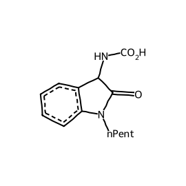 CCCCCN1C(=O)C(NC(=O)O)c2ccccc21